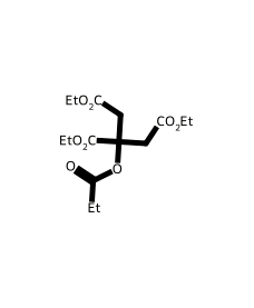 CCOC(=O)CC(CC(=O)OCC)(OC(=O)CC)C(=O)OCC